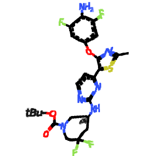 Cc1nc(Oc2cc(F)c(N)c(F)c2)c(-c2ccnc(N[C@@H]3CN(C(=O)OC(C)(C)C)CC(F)(F)C3)n2)s1